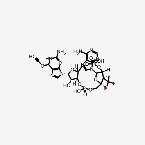 C#COC1NC(N)=Nc2c1ncn2[C@@H]1O[C@@H]2COP(=O)(O)O[C@H]3[C@H](n4cnc5c(N)ncnc54)O[C@H](COP(=O)(O)O[C@H]2[C@H]1O)[C@@]31CC1(F)F